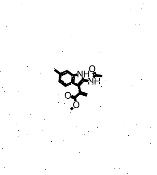 C=C(C(=O)OC)c1c(NC(C)=O)[nH]c2cc(C)ccc12